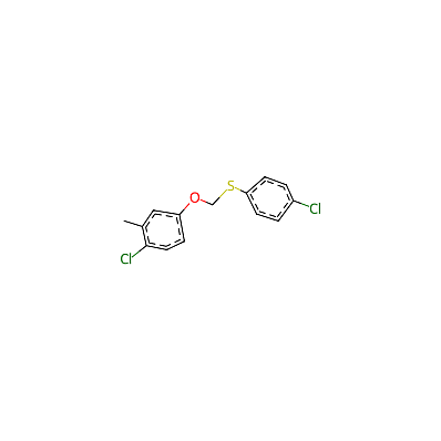 Cc1cc(OCSc2ccc(Cl)cc2)ccc1Cl